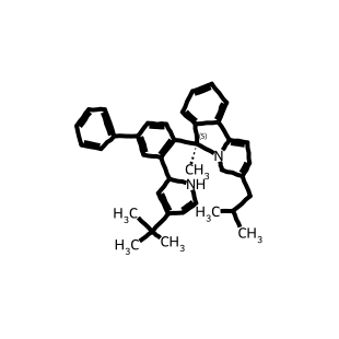 CC(C)CC1=CC=C2c3ccccc3[C@](C)(c3ccc(-c4ccccc4)cc3C3C=C(C(C)(C)C)C=CN3)N2C1